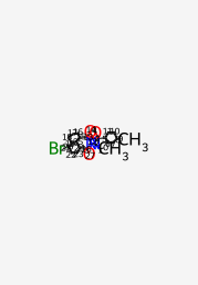 CCN(C(=O)c1ccc(C)cc1)N1C(=O)c2cccc3c(Br)ccc(c23)C1=O